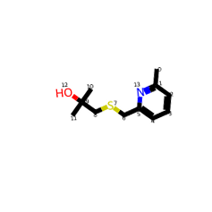 Cc1cccc(CSCC(C)(C)O)n1